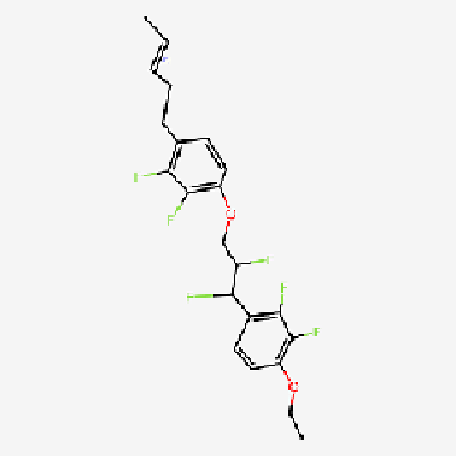 C/C=C/CCc1ccc(OCC(F)C(F)c2ccc(OCC)c(F)c2F)c(F)c1F